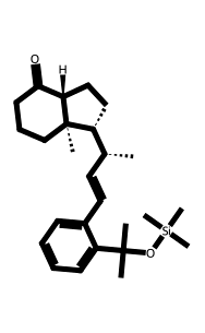 C[C@H](/C=C/c1ccccc1C(C)(C)O[Si](C)(C)C)[C@H]1CC[C@H]2C(=O)CCC[C@]12C